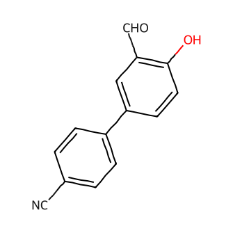 N#Cc1ccc(-c2ccc(O)c(C=O)c2)cc1